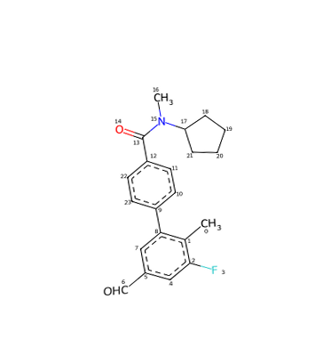 Cc1c(F)cc(C=O)cc1-c1ccc(C(=O)N(C)C2CCCC2)cc1